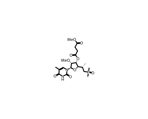 COC(=O)CCC(=O)O[C@H]1[C@@H](OC)[C@H](n2cc(C)c(=O)[nH]c2=O)O[C@@H]1[C@H](C)CP(C)(C)=O